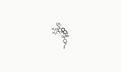 C=C/C=C(/c1ccc2cnc(NC(=O)C3CCN(CCF)CC3)cc2c1)N(C)C(=C)C